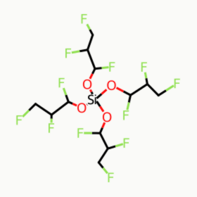 FCC(F)C(F)O[Si](OC(F)C(F)CF)(OC(F)C(F)CF)OC(F)C(F)CF